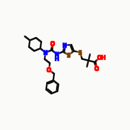 CC1CCC(N(CCOCc2ccccc2)C(=O)Nc2ncc(SCC(C)(C)C(=O)O)s2)CC1